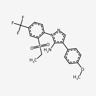 CCS(=O)(=O)c1cc(C(F)(F)F)ccc1-n1ncc(-c2ccc(OC)cc2)c1N